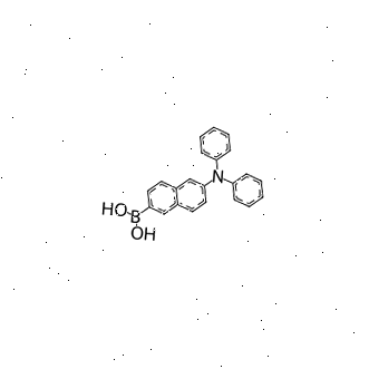 OB(O)c1ccc2cc(N(c3ccccc3)c3ccccc3)ccc2c1